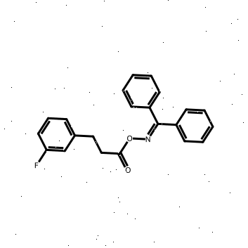 O=C(CCc1cccc(F)c1)ON=C(c1ccccc1)c1ccccc1